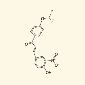 O=C(/C=C/c1ccc(O)c([N+](=O)[O-])c1)c1ccc(OC(F)F)cc1